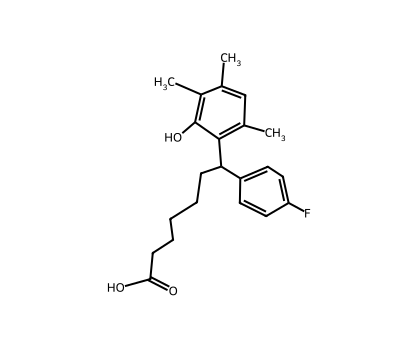 Cc1cc(C)c(C(CCCCCC(=O)O)c2ccc(F)cc2)c(O)c1C